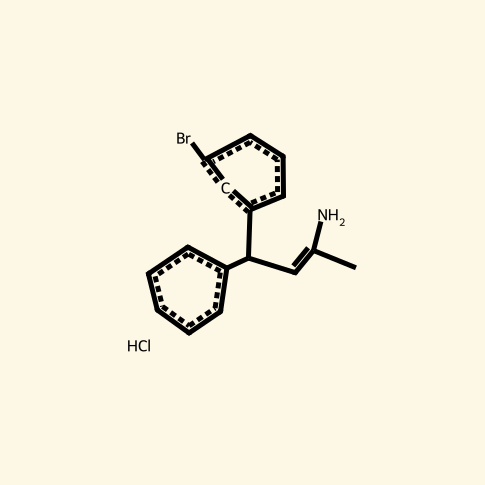 C/C(N)=C/C(c1ccccc1)c1cccc(Br)c1.Cl